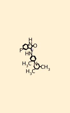 Cc1cc(N/C=C2/C(=O)Nc3ccc(F)cc32)ccc1N1CC(C)CC(C)C1